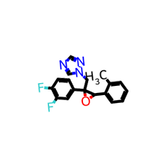 Cc1ccccc1C1OC1(Cn1cncn1)c1ccc(F)c(F)c1